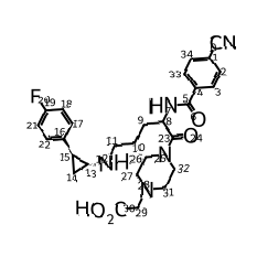 N#Cc1ccc(C(=O)NC(CCCN[C@@H]2C[C@H]2c2ccc(F)cc2)C(=O)N2CCN(CC(=O)O)CC2)cc1